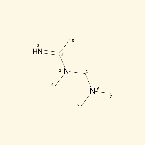 CC(=N)N(C)CN(C)C